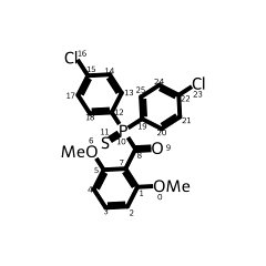 COc1cccc(OC)c1C(=O)P(=S)(c1ccc(Cl)cc1)c1ccc(Cl)cc1